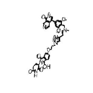 COc1cc(-c2cn(C)c(=O)c3cnccc23)cc(OC)c1CN(C)CCc1cn(CCCOc2ccc3c(c2)C(=O)N(C2CCC(=O)NC2=O)C3O)nn1